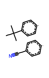 CC(C)(C)c1cc[c]cc1.N#Cc1cc[c]cc1